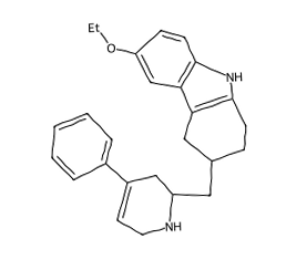 CCOc1ccc2[nH]c3c(c2c1)CC(CC1CC(c2ccccc2)=CCN1)CC3